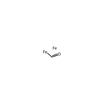 O=[CH][Fe].[Fe]